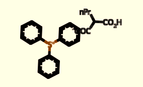 CCCC(C(=O)[O-])C(=O)O.c1ccc([S+](c2ccccc2)c2ccccc2)cc1